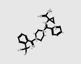 O=C(c1ccccc1C(F)(F)F)N1CCN(C(=NC2(C(=O)O)CC2)c2ccccn2)CC1